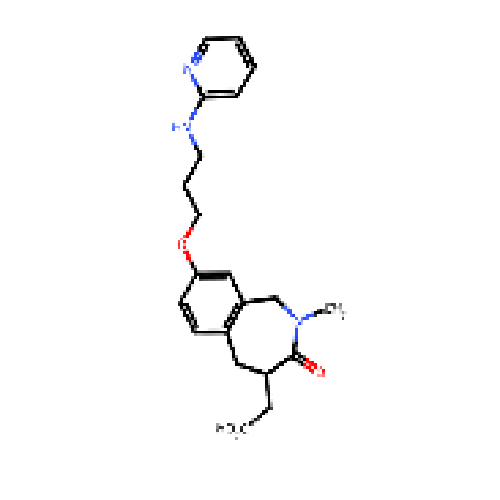 CN1Cc2cc(OCCCNc3ccccn3)ccc2CC(CC(=O)O)C1=O